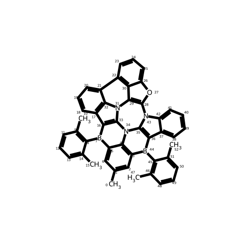 Cc1cc2c3c(c1)B(c1c(C)cccc1C)c1c4cccc5c6cccc7oc8c(c76)n(c45)c1n-3c1c(c3ccccc3n81)B2c1c(C)cccc1C